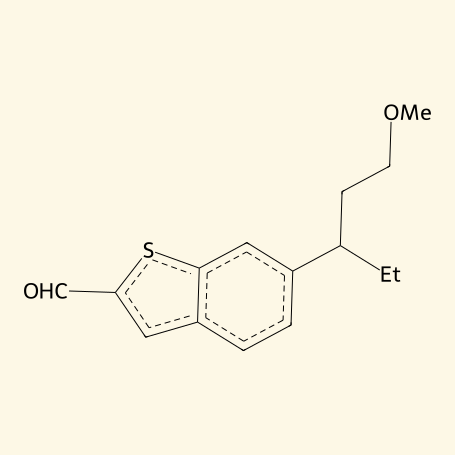 CCC(CCOC)c1ccc2cc(C=O)sc2c1